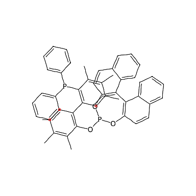 Cc1cc(-c2cc(C)c(C)c(C)c2P(c2ccccc2)c2ccccc2)c(Op2oc3ccc4ccccc4c3c3c(ccc4ccccc43)o2)c(C)c1C